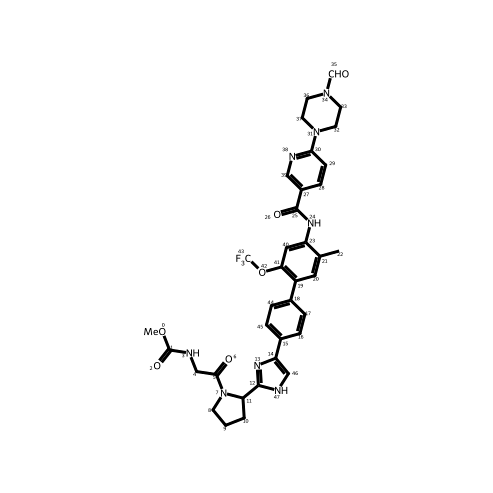 COC(=O)NCC(=O)N1CCCC1c1nc(-c2ccc(-c3cc(C)c(NC(=O)c4ccc(N5CCN(C=O)CC5)nc4)cc3OC(F)(F)F)cc2)c[nH]1